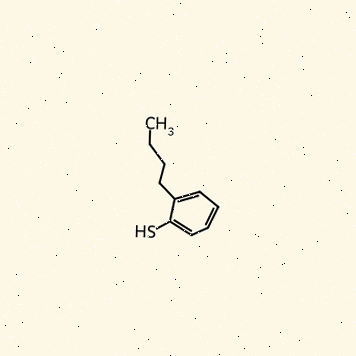 CCCCc1ccccc1S